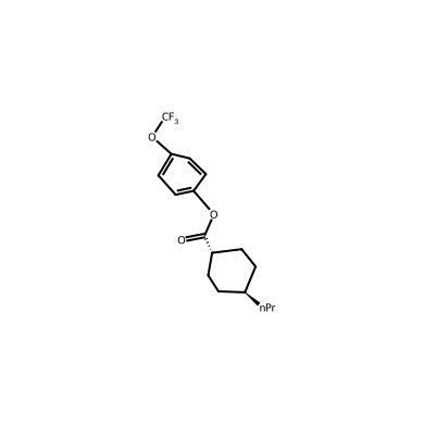 CCC[C@H]1CC[C@H](C(=O)Oc2ccc(OC(F)(F)F)cc2)CC1